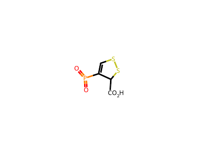 O=C(O)C1SSC=C1P(=O)=O